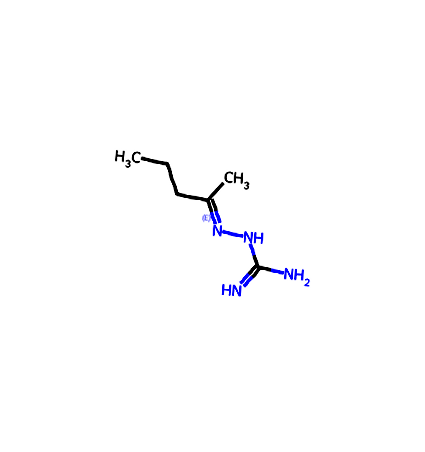 CCC/C(C)=N/NC(=N)N